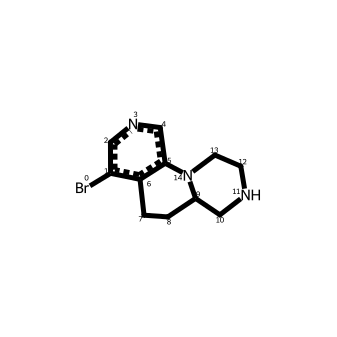 Brc1cncc2c1CCC1CNCCN21